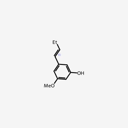 CC/C=C/c1cc(O)cc(OC)c1